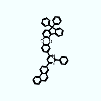 c1ccc(-c2nc(-c3ccc4c(c3)Oc3c(ccc5c3-c3ccccc3C5(c3ccccc3)c3ccccc3)O4)cc(-c3ccc4c(ccc5ccccc54)c3)n2)cc1